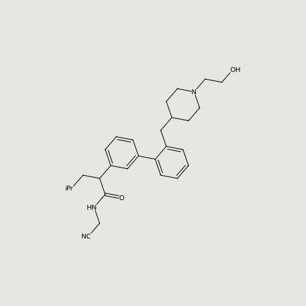 CC(C)CC(C(=O)NCC#N)c1cccc(-c2ccccc2CC2CCN(CCO)CC2)c1